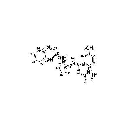 Cc1ccc(-n2nccn2)c(C(=O)N[C@H]2CCC[C@H]2Nc2ccc3ccccc3n2)c1